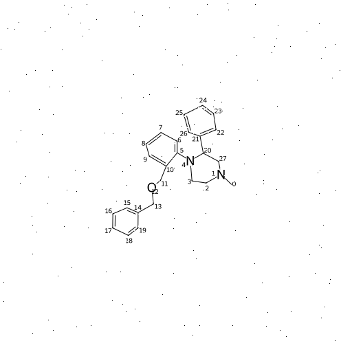 CN1CCN(c2ccccc2COCc2ccccc2)C(c2ccccc2)C1